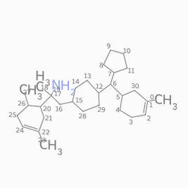 CC1=CCCC(C(C2CCCC2)C2CCC(CC(C)(N)C3CC(C)=CCC3C)CC2)C1